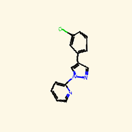 Clc1cccc(-c2cnn(-c3ccccn3)c2)c1